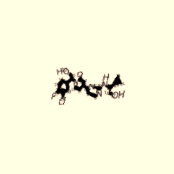 O=c1cc(-c2ccnc(N[C@H](CO)C3CC3)n2)ccn1C(CO)c1ccc(F)c(Cl)c1